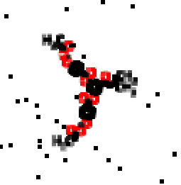 C=CC(=O)OCOc1ccc(C(=O)Oc2cc(OC(=O)c3ccc(OCOC(=O)C=C)cc3)cc(C(=O)CC(C)C=C)c2)cc1